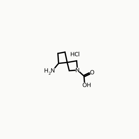 Cl.NC1CCC12CN(C(=O)O)C2